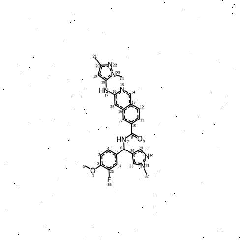 COc1ccc(C(NC(=O)c2ccc3cnc(Nc4cc(C)nn4C)cc3c2)c2cnn(C)c2)cc1F